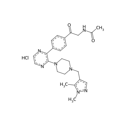 CC(=O)NCC(=O)c1ccc(-c2nccnc2N2CCN(Cc3cnn(C)c3C)CC2)cc1.Cl